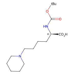 CC(C)(C)OC(=O)N[C@H](CCCCN1CCCCC1)C(=O)O